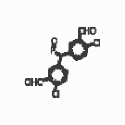 O=Cc1cc(C(P=O)c2ccc(Cl)c(C=O)c2)ccc1Cl